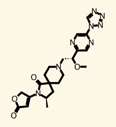 CO[C@H](CN1CCC2(CC1)C[C@@H](C)N(C1=CC(=O)OC1)C2=O)c1cnc(-n2cnnn2)cn1